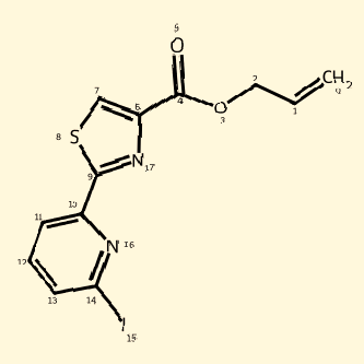 C=CCOC(=O)c1csc(-c2cccc(I)n2)n1